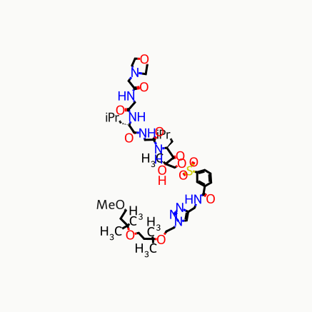 COCCC(C)(C)OCCC(C)(C)OCCn1cc(CNC(=O)c2cccc(S(=O)(=O)OCC(C)(O)C(=O)[C@H](CC(C)C)NC(=O)CNC(=O)[C@H](CC(C)C)NC(=O)CNC(=O)CN3CCOCC3)c2)nn1